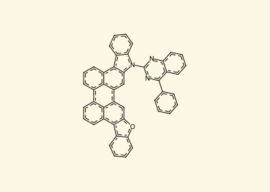 c1ccc(-c2nc(-n3c4ccccc4c4c5cccc6c7cccc8c9c(cc(c(cc43)c65)c78)oc3ccccc39)nc3ccccc23)cc1